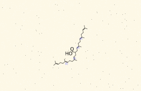 CC(C)=CCC/C(C)=C/CC/C(C)=C/CC(C/C=C(\C)CC/C=C(\C)CCC=C(C)C)C(=O)O